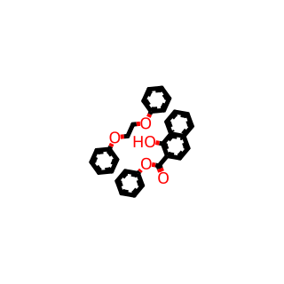 O=C(Oc1ccccc1)c1ccc2ccccc2c1O.c1ccc(OCCOc2ccccc2)cc1